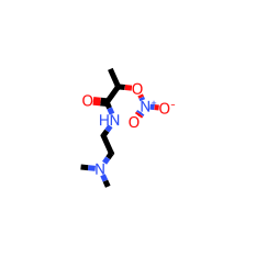 CC(O[N+](=O)[O-])C(=O)NCCN(C)C